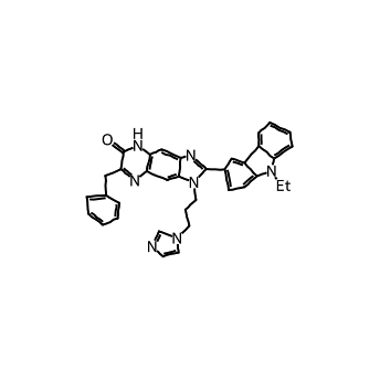 CCn1c2ccccc2c2cc(-c3nc4cc5[nH]c(=O)c(Cc6ccccc6)nc5cc4n3CCCn3ccnc3)ccc21